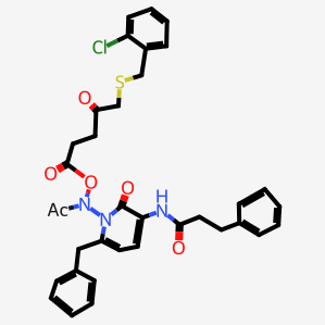 CC(=O)N(OC(=O)CCC(=O)CSCc1ccccc1Cl)n1c(Cc2ccccc2)ccc(NC(=O)CCc2ccccc2)c1=O